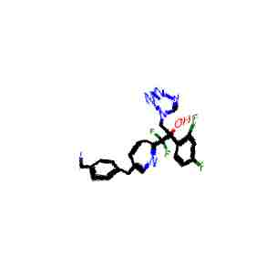 OC(Cn1cnnn1)(c1ccc(F)cc1F)C(F)(F)c1ccc(Cc2ccc(CI)cc2)cn1